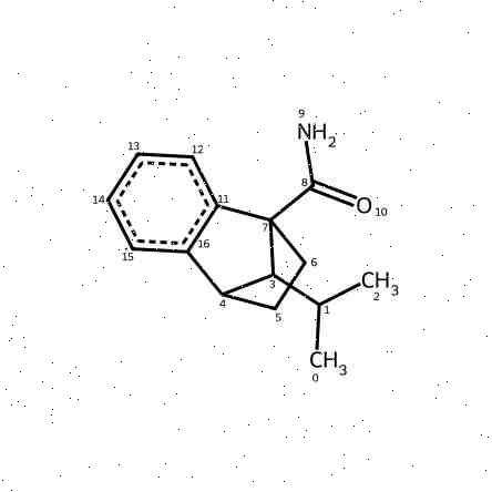 CC(C)C1C2CCC1(C(N)=O)c1ccc[c]c12